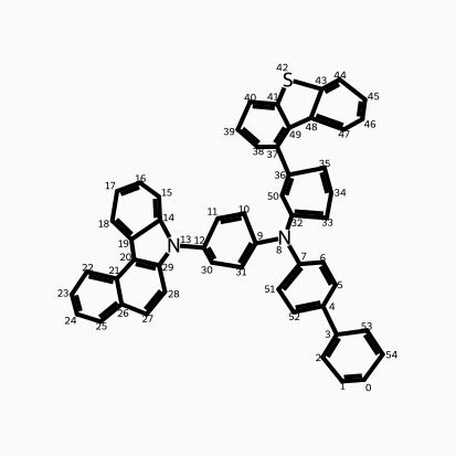 c1ccc(-c2ccc(N(c3ccc(-n4c5ccccc5c5c6ccccc6ccc54)cc3)c3cccc(-c4cccc5sc6ccccc6c45)c3)cc2)cc1